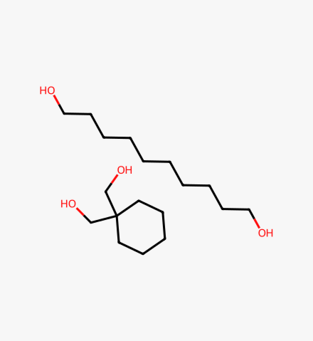 OCC1(CO)CCCCC1.OCCCCCCCCCCO